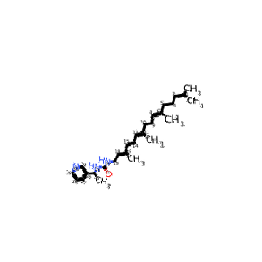 CC(C)=CCC/C(C)=C/CC/C(C)=C/CC/C(C)=C/CNC(=O)NC(C)c1cccnc1